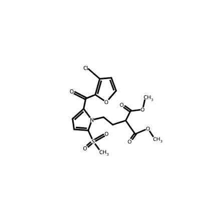 COC(=O)C(CCn1c(C(=O)c2occc2Cl)ccc1S(C)(=O)=O)C(=O)OC